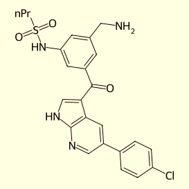 CCCS(=O)(=O)Nc1cc(CN)cc(C(=O)c2c[nH]c3ncc(-c4ccc(Cl)cc4)cc23)c1